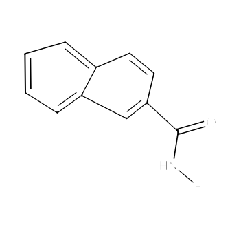 O=C(NF)c1ccc2ccccc2c1